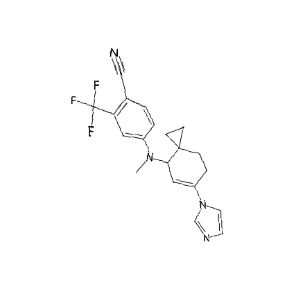 CN(c1ccc(C#N)c(C(F)(F)F)c1)C1C=C(n2ccnc2)CCC12CC2